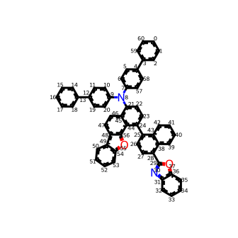 c1ccc(-c2ccc(N(c3ccc(-c4ccccc4)cc3)c3ccc(-c4ccc(-c5nc6ccccc6o5)c5ccccc45)c4c3ccc3c5ccccc5oc34)cc2)cc1